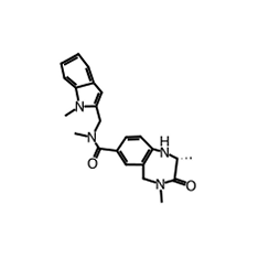 C[C@H]1Nc2ccc(C(=O)N(C)Cc3cc4ccccc4n3C)cc2CN(C)C1=O